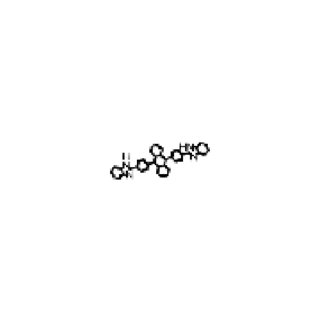 c1ccc2[nH]c(-c3ccc(-c4c5ccccc5c(-c5ccc(-c6nc7ccccc7[nH]6)cc5)c5ccccc45)cc3)nc2c1